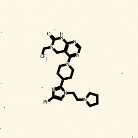 CC(C)c1cn(CCN2CCCC2)c(C2CCN(c3ncnc4c3CN(CC(F)(F)F)C(=O)N4)CC2)n1